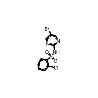 O=S(=O)(Nc1ncc(Br)cn1)c1ccccc1Cl